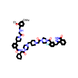 CCOc1cc(OC)ccc1CNCC(=O)N1CCC(c2cccc(C(=O)N[C@@H](C(=O)N3CCN(CC4CCN(CC(=O)N5CCN(C(=O)c6cc(Cc7n[nH]c(=O)c8ccccc78)ccc6F)CC5)CC4)CC3)C3CCCCC3)c2)CC1